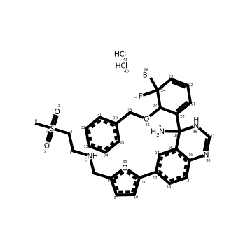 CS(=O)(=O)CCNCc1ccc(-c2ccc3c(c2)C(N)(C2=CC=CC(F)(Br)C2OCc2ccccc2)NC=N3)o1.Cl.Cl